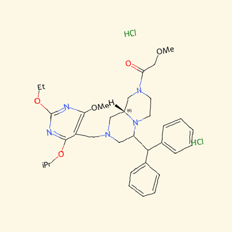 CCOc1nc(OC)c(CN2CC(C(c3ccccc3)c3ccccc3)N3CCN(C(=O)COC)C[C@H]3C2)c(OC(C)C)n1.Cl.Cl